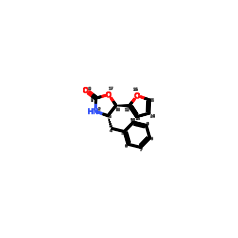 O=C1N[C@@H](Cc2ccccc2)[C@H](c2ccco2)O1